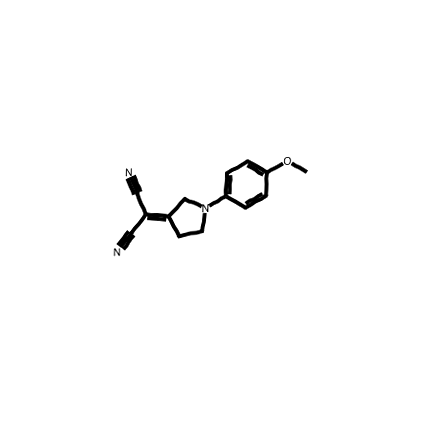 COc1ccc(N2CCC(=C(C#N)C#N)C2)cc1